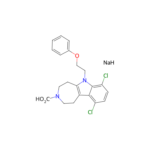 O=C(O)N1CCc2c(n(CCOc3ccccc3)c3c(Cl)ccc(Cl)c23)CC1.[NaH]